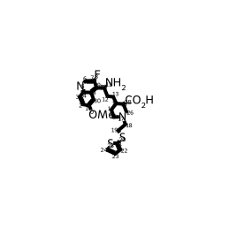 COc1ccc2ncc(F)c([C@H](N)CCC3CCN(CCSc4cccs4)CC3C(=O)O)c2c1